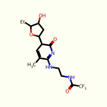 CCC1OC(C2C=C(C)C(NCCNC(=O)C(F)(F)F)=NC2=O)CC1O